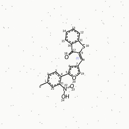 Cc1ccc(-c2cc(/C=C3/Sc4ccccc4C3=O)co2)c([N+](=O)O)c1